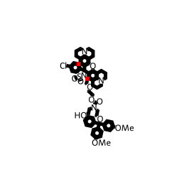 COc1ccc(C(OCCN(CCO)C(=O)OCCOCCN2C3(c4ccc(Cl)cc4S2(=O)=O)c2cc4c5c(c2Oc2c3cc3c6c2CCCN6CCC3)CCCN5CCC4)(c2ccccc2)c2ccc(OC)cc2)cc1